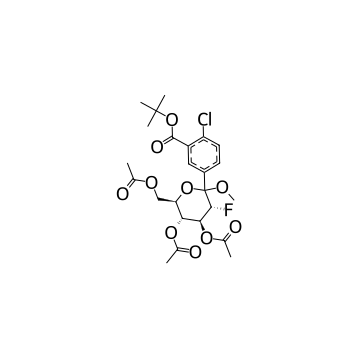 COC1(c2ccc(Cl)c(C(=O)OC(C)(C)C)c2)O[C@H](COC(C)=O)[C@@H](OC(C)=O)[C@H](OC(C)=O)[C@H]1F